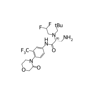 CC(C)(C)CN(CC(F)F)[C@H](CN)C(=O)Nc1ccc(N2CCOCC2=O)c(C(F)(F)F)c1